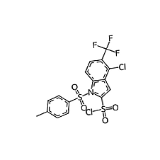 Cc1ccc(S(=O)(=O)n2c(S(=O)(=O)Cl)cc3c(Cl)c(C(F)(F)F)ccc32)cc1